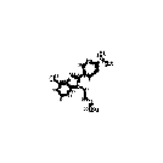 CCN(CC)c1ccc(-c2nc3c(Cl)cccc3n2CCOC(C)(C)C)cn1